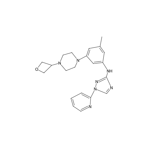 Cc1cc(Nc2ncn(-c3ccccn3)n2)cc(N2CCN(C3COC3)CC2)c1